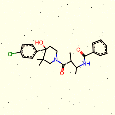 CC(NC(=O)c1ccccc1)C(C)C(=O)N1CCC(O)(c2ccc(Cl)cc2)C(C)(C)C1